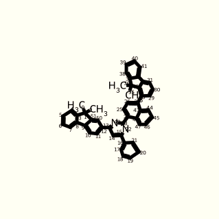 CC1(C)c2ccccc2-c2ccc(-c3cc(-c4ccccc4)nc(-c4ccc(-c5cccc6c5C(C)(C)c5ccccc5-6)c5ccccc45)n3)cc21